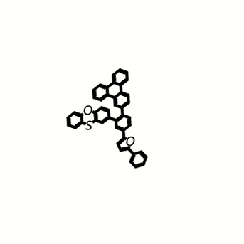 c1ccc(-c2ccc(-c3ccc(-c4ccc5c6ccccc6c6ccccc6c5c4)c(-c4ccc5c(c4)Sc4ccccc4O5)c3)o2)cc1